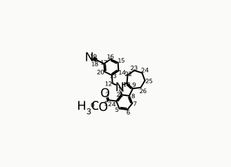 COC(=O)c1cccc2c3c(n(Cc4cccc(C#N)c4)c12)CCCCC3